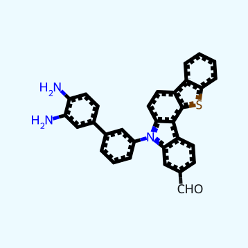 Nc1ccc(-c2cccc(-n3c4cc(C=O)ccc4c4c5sc6ccccc6c5ccc43)c2)cc1N